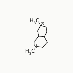 C[C@@H]1CCC2CCN(C)CC2C1